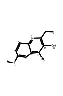 CCc1nc2ccc(OC)cc2c(Br)c1O